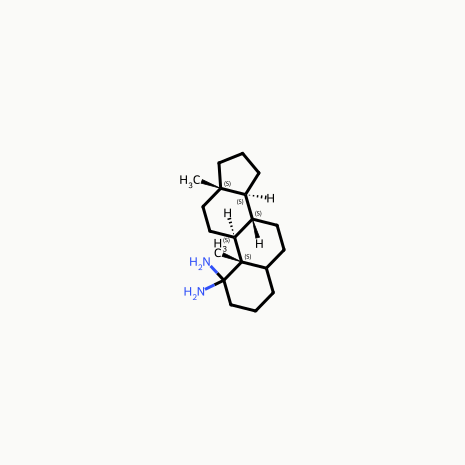 C[C@@]12CCC[C@H]1[C@@H]1CCC3CCCC(N)(N)[C@]3(C)[C@H]1CC2